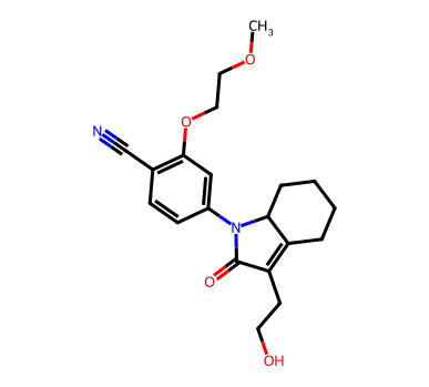 COCCOc1cc(N2C(=O)C(CCO)=C3CCCCC32)ccc1C#N